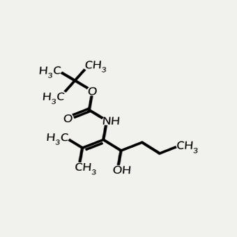 CCCC(O)C(NC(=O)OC(C)(C)C)=C(C)C